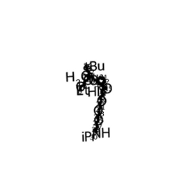 CCOCCOC(C)(COc1cccc(C(=O)NCCOCCOCCOCCCNC(C)C)c1)SSC(C)(C)C